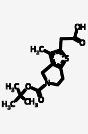 Cc1c(CC(=O)O)sc2c1CN(C(=O)OC(C)(C)C)CC2